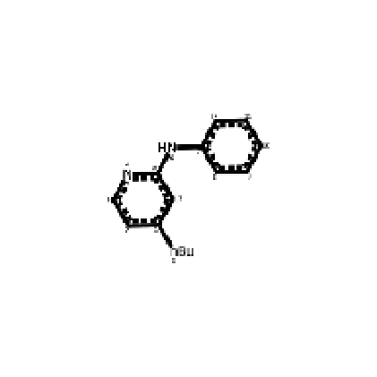 CCCCc1ccnc(Nc2ccccc2)c1